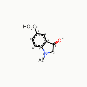 CC(=O)N1CC(=O)c2cc(C(=O)O)ccc21